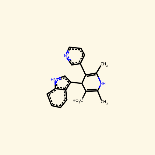 CC1=C(C(=O)O)C(c2c[nH]c3ccccc23)C(c2cccnc2)=C(C)N1